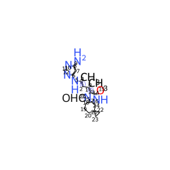 CC(/C=C(\C)Nc1cc(N)ncn1)=C1\C(=O)NC2(CCCC3(CC3)C2)N1C=O